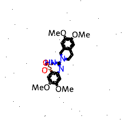 COc1cc2c(cc1OC)CN(C1=Nc3cc(OC)c(OC)cc3S(=O)(=O)N1)CC2